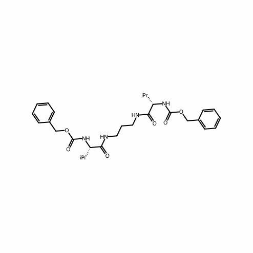 CC(C)[C@H](NC(=O)OCc1ccccc1)C(=O)NCCCNC(=O)[C@@H](NC(=O)OCc1ccccc1)C(C)C